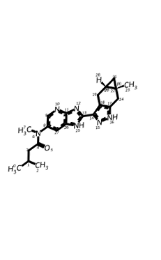 CC(C)CC(=O)N(C)c1cnc2nc(-c3n[nH]c4c3C[C@@H]3C[C@]3(C)C4)[nH]c2c1